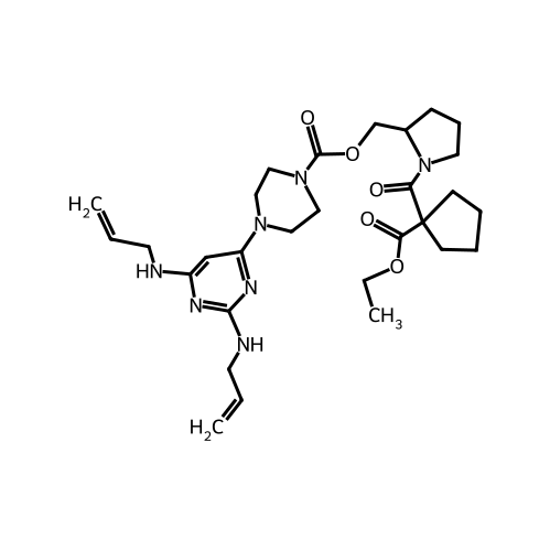 C=CCNc1cc(N2CCN(C(=O)OCC3CCCN3C(=O)C3(C(=O)OCC)CCCC3)CC2)nc(NCC=C)n1